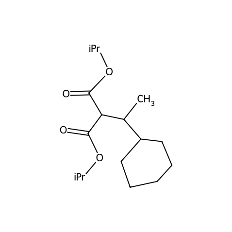 CC(C)OC(=O)C(C(=O)OC(C)C)C(C)C1CCCCC1